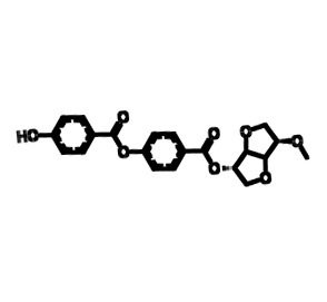 CO[C@@H]1COC2C1OC[C@@H]2OC(=O)c1ccc(OC(=O)c2ccc(O)cc2)cc1